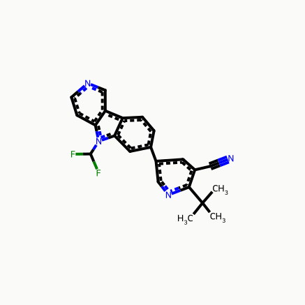 CC(C)(C)c1ncc(-c2ccc3c4cnccc4n(C(F)F)c3c2)cc1C#N